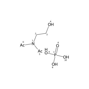 CC(=O)N(CCO)C(C)=O.O=P(O)(O)O